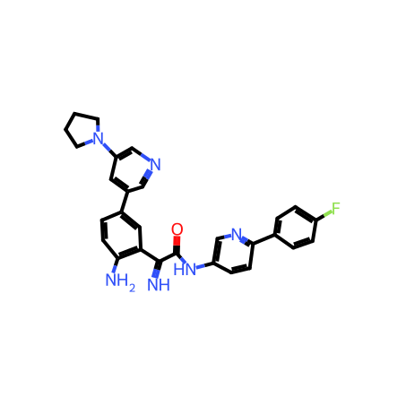 N=C(C(=O)Nc1ccc(-c2ccc(F)cc2)nc1)c1cc(-c2cncc(N3CCCC3)c2)ccc1N